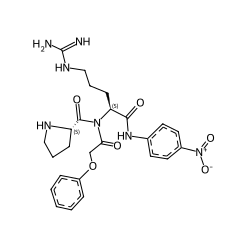 N=C(N)NCCC[C@@H](C(=O)Nc1ccc([N+](=O)[O-])cc1)N(C(=O)COc1ccccc1)C(=O)[C@@H]1CCCN1